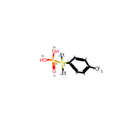 CCS(CC)(c1ccc(C(F)(F)F)cc1)P(=O)(O)O